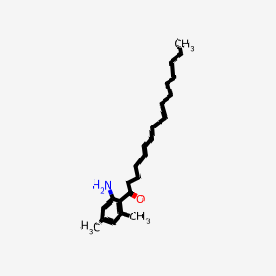 CCCCCCCCCCCCCCCC(=O)c1c(C)cc(C)cc1N